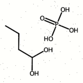 CCCC(O)O.O=P(O)(O)O